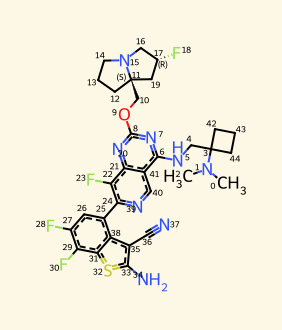 CN(C)C1(CNc2nc(OC[C@@]34CCCN3C[C@H](F)C4)nc3c(F)c(-c4cc(F)c(F)c5sc(N)c(C#N)c45)ncc23)CCC1